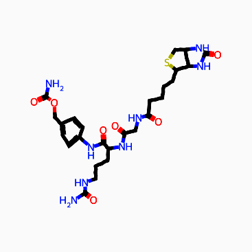 NC(=O)NCCCC(NC(=O)CNC(=O)CCCCC1SCC2NC(=O)NC21)C(=O)Nc1ccc(COC(N)=O)cc1